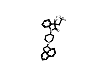 C[C@H](O)CC1(O)C(=O)N(C2CCN(C3Cc4cccc5cccc3c45)CC2)c2ccccc21